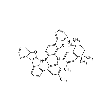 Cc1cc2c3c(c1)N(c1cc4c(cc1C)C(C)(C)CCC4(C)C)c1c(ccc4c1sc1ccccc14)B3n1c3oc4ccccc4c3c3cccc-2c31